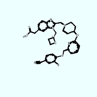 N#Cc1ccc(OCc2cccc(OC3CCN(Cc4nc5ccc(CC(=O)O)cc5n4C[C@@H]4CCO4)CC3)n2)c(F)c1